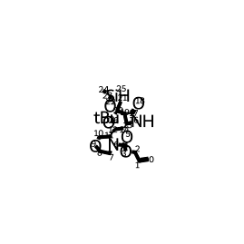 C=CCOC(=O)N1CCOC[C@H]1C(=O)C[C@H]1NC(=O)[C@@H]1[C@@](C)(O[SiH](C)C)C(C)(C)C